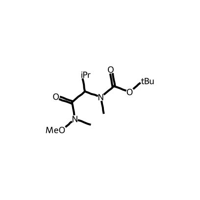 CON(C)C(=O)C(C(C)C)N(C)C(=O)OC(C)(C)C